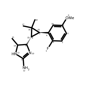 COc1ccc(F)c([C@H]2[C@H](C3N=C(N)NC3C)C2(C)C)c1